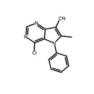 Cc1c(C#N)c2ncnc(Cl)c2n1-c1ccccc1